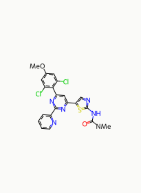 CNC(=O)Nc1ncc(-c2cc(-c3c(Cl)cc(OC)cc3Cl)nc(-c3ccccn3)n2)s1